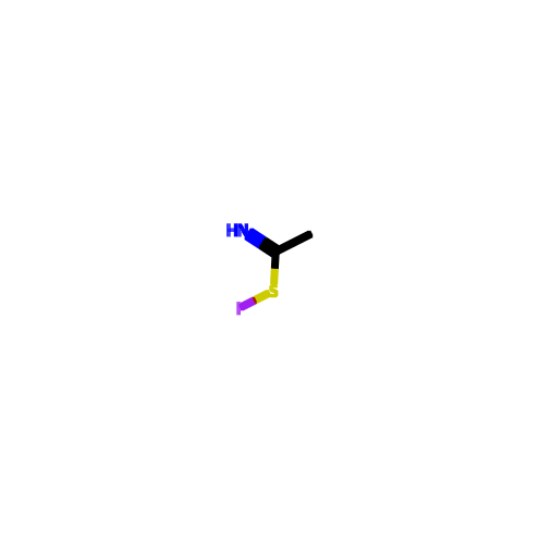 CC(=N)SI